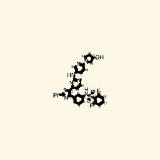 CC(C)c1nc(-c2cccc(NS(=O)(=O)c3c(F)cccc3F)c2)c(-c2ccnc(Nc3ccc(N4CC[C@@H](O)C4)nc3)n2)s1